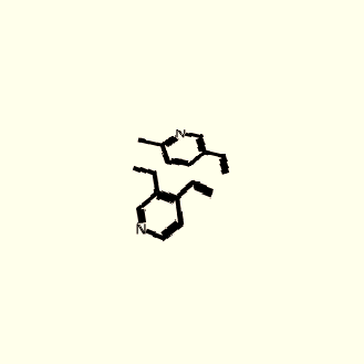 C=Cc1ccc(C)nc1.C=Cc1ccncc1CC